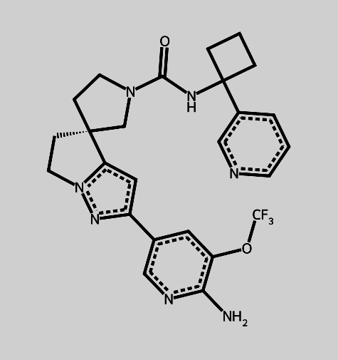 Nc1ncc(-c2cc3n(n2)CC[C@@]32CCN(C(=O)NC3(c4cccnc4)CCC3)C2)cc1OC(F)(F)F